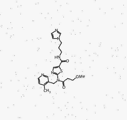 COCCC(=O)N(Cc1cnccc1C)c1ncc(C(=O)NCCCn2ccnc2)s1